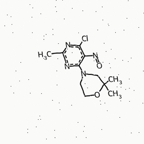 Cc1nc(Cl)c(N=O)c(N2CCOC(C)(C)C2)n1